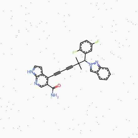 CC(C)(C#CC#Cc1c(C(N)=O)cnc2[nH]ccc12)C(c1cc(F)ccc1F)n1cc2ccccc2n1